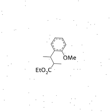 CCOC(=O)C(C)C(C)c1ccccc1OC